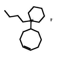 CCCC[N+]1(C2CCC=CCCC2)CCCCC1.[I-]